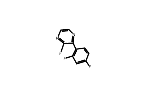 Fc1[c]c(F)c(-c2nccnc2F)cc1